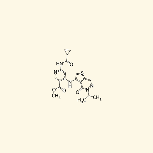 COC(=O)c1cnc(NC(=O)C2CC2)cc1Nc1csc2cnn(C(C)C)c(=O)c12